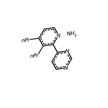 CCCc1ccnc(-c2ccncn2)c1CCC.N